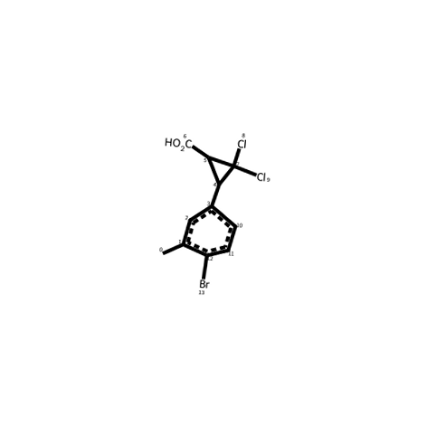 Cc1cc(C2C(C(=O)O)C2(Cl)Cl)ccc1Br